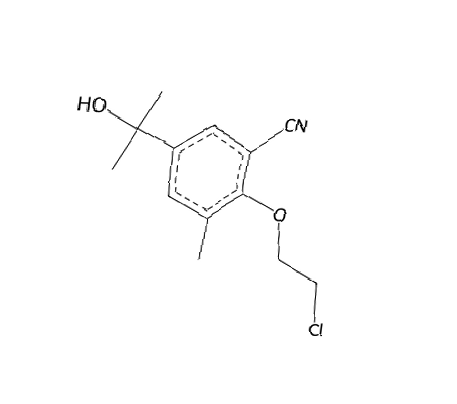 Cc1cc(C(C)(C)O)cc(C#N)c1OCCCl